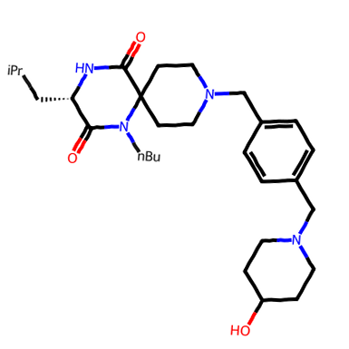 CCCCN1C(=O)[C@H](CC(C)C)NC(=O)C12CCN(Cc1ccc(CN3CCC(O)CC3)cc1)CC2